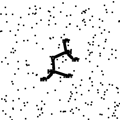 CCC[SiH](CCC)O[SiH](CCC)CCC